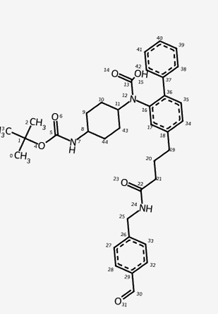 CC(C)(C)OC(=O)NC1CCC(N(C(=O)O)c2cc(CCCC(=O)NCc3ccc(C=O)cc3)ccc2-c2ccccc2)CC1